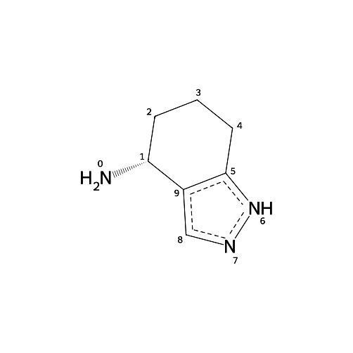 N[C@@H]1CCCc2[nH]ncc21